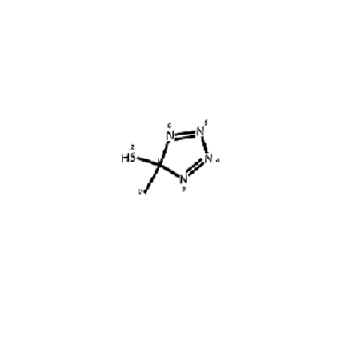 CC1(S)N=NN=N1